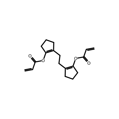 C=CC(=O)OC1=C(CCC2=C(OC(=O)C=C)CCC2)CCC1